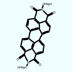 CCCCCCCN1C(=O)c2ccc3c4ccc5c6c(ccc(c7ccc(c2c37)C1=O)c64)C(=O)N(CCCCCCC)C5=O